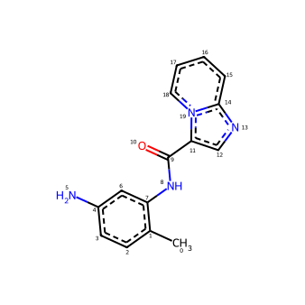 Cc1ccc(N)cc1NC(=O)c1cnc2ccccn12